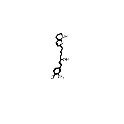 OC(C=Cc1ccc(Cl)c(C(F)(F)F)c1)CCCCc1ccc2c(n1)NCCC2